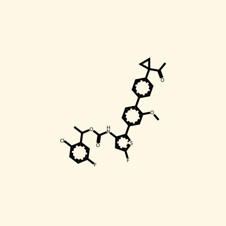 COc1cc(-c2sc(F)cc2NC(=O)OC(C)c2cc(F)ccc2Cl)ccc1-c1ccc(C2(C(C)=O)CC2)cc1